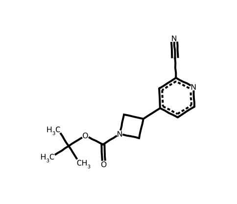 CC(C)(C)OC(=O)N1CC(c2ccnc(C#N)c2)C1